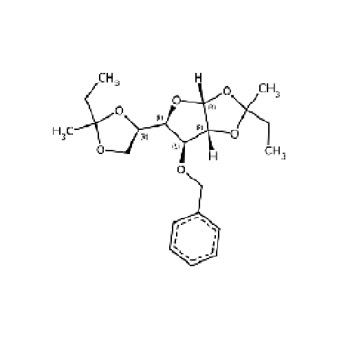 CCC1(C)O[C@H]2O[C@H]([C@H]3COC(C)(CC)O3)[C@H](OCc3ccccc3)[C@H]2O1